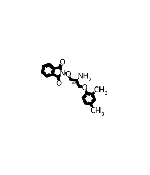 Cc1ccc(OC[C@@H](N)CON2C(=O)c3ccccc3C2=O)c(C)c1